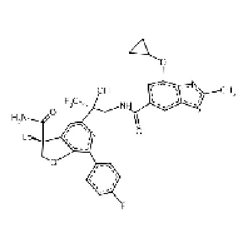 CC[C@]1(C(N)=O)COc2c1cc([C@@](O)(CNC(=O)c1cc(OC3CC3)c3nc(C)sc3c1)C(F)(F)F)nc2-c1ccc(F)cc1